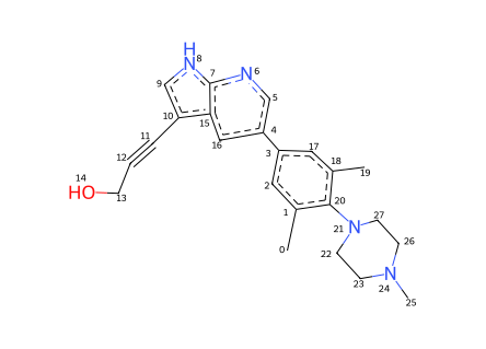 Cc1cc(-c2cnc3[nH]cc(C#CCO)c3c2)cc(C)c1N1CCN(C)CC1